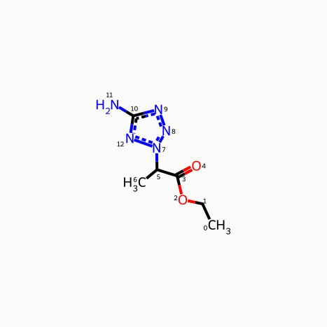 CCOC(=O)C(C)n1nnc(N)n1